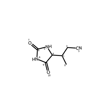 CC(CC#N)C1NC(=O)NC1=O